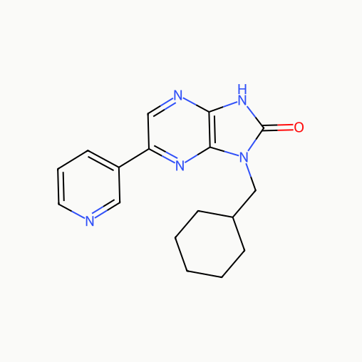 O=c1[nH]c2ncc(-c3cccnc3)nc2n1CC1CCCCC1